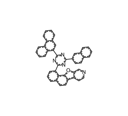 c1ccc2cc(-c3nc(-c4cc5ccccc5c5ccccc45)nc(-c4cccc5ccc6c7ccncc7oc6c45)n3)ccc2c1